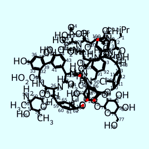 CC(C)C[C@H](C(=O)N[C@H]1C(=O)N[C@@H](CC(N)=O)C(=O)N[C@H]2C(=O)N[C@H]3C(=O)N[C@H](C(=O)N[C@H](C(=O)O)c4cc(O)cc(O)c4-c4cc3ccc4O)[C@H](O[C@H]3C[C@](C)(N)[C@@H](O)[C@H](C)O3)c3ccc(c(Cl)c3)Oc3cc2cc(c3O[C@@H]2O[C@H](CO)[C@@H](O)[C@H](O)[C@H]2O[C@H]2C[C@](C)(NCc3ccc(-c4ccc(Cl)cc4)cc3)[C@@H](O)[C@H](C)O2)Oc2ccc(cc2Cl)[C@H]1O)N(C)C(=O)CCC(=O)NC(P(=O)(O)O)P(=O)(O)O